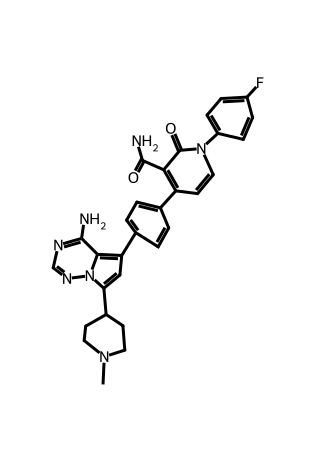 CN1CCC(c2cc(-c3ccc(-c4ccn(-c5ccc(F)cc5)c(=O)c4C(N)=O)cc3)c3c(N)ncnn23)CC1